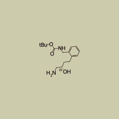 CC(C)(C)OC(=O)NCc1ccccc1CC[C@H](O)CN